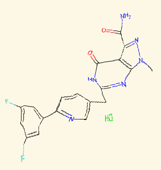 Cl.Cn1nc(C(N)=O)c2c(=O)[nH]c(Cc3ccc(-c4cc(F)cc(F)c4)nc3)nc21